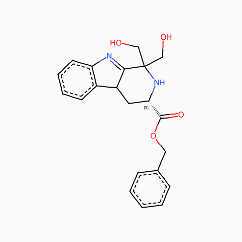 O=C(OCc1ccccc1)[C@@H]1CC2C(=Nc3ccccc32)C(CO)(CO)N1